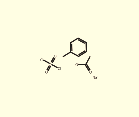 CC(=O)[O-].Cc1ccccc1.O=S(=O)(Cl)Cl.[Na+]